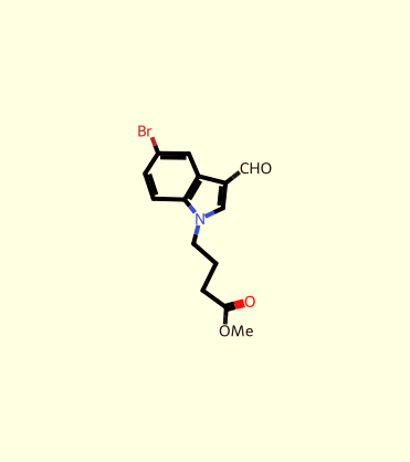 COC(=O)CCCn1cc(C=O)c2cc(Br)ccc21